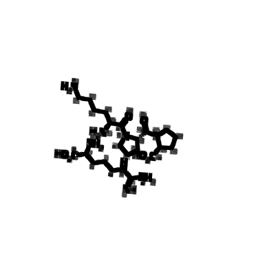 N=C(N)NCCC[C@H](N)C(=O)O.NCCCC[C@H](N)C(=O)N1CCC[C@H]1C(=O)N1CCC[C@H]1C(=O)O